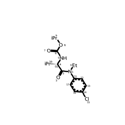 CCN(C(=O)[C@@H](NC(=O)OC(C)C)C(C)C)c1ccc(Cl)cc1